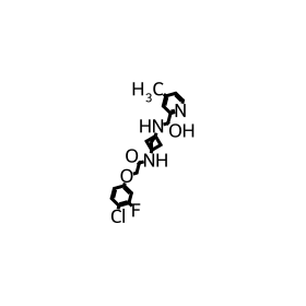 Cc1ccnc(C(O)NC23CC(NC(=O)COc4ccc(Cl)c(F)c4)(C2)C3)c1